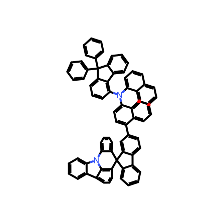 c1ccc(C2(c3ccccc3)c3ccccc3-c3c(N(c4cccc5ccccc45)c4ccc(-c5ccc6c(c5)C5(c7ccccc7-6)c6ccccc6-n6c7ccccc7c7cccc5c76)c5ccccc45)cccc32)cc1